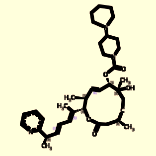 C/C(=C\C=C\[C@@H](C)c1ccccn1)[C@H]1OC(=O)C[C@H](C)CC[C@@](C)(O)[C@@H](OC(=O)N2CCC(N3CCCCC3)CC2)/C=C/[C@@H]1C